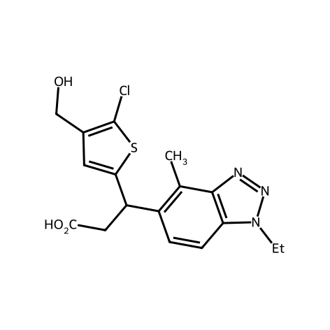 CCn1nnc2c(C)c(C(CC(=O)O)c3cc(CO)c(Cl)s3)ccc21